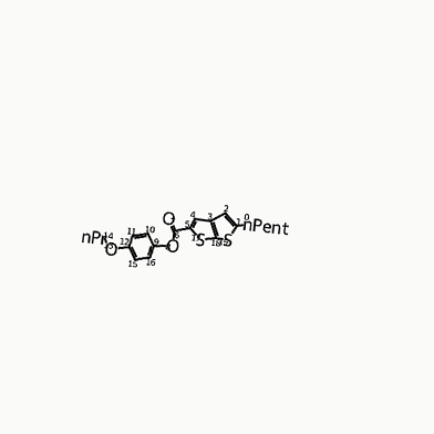 CCCCCc1cc2cc(C(=O)Oc3ccc(OCCC)cc3)sc2s1